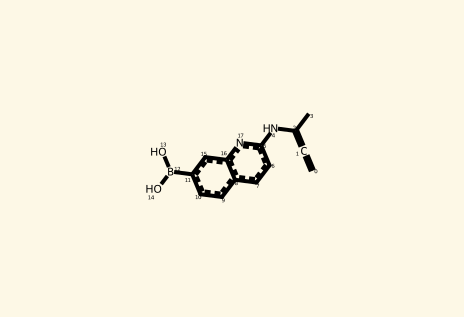 C=C=C(C)Nc1ccc2ccc(B(O)O)cc2n1